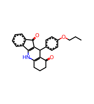 CCCOc1ccc(C2C3=C(CCCC3=O)NC3=C2C(=O)c2ccccc23)cc1